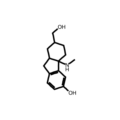 CNC12CCC(CO)CC1Cc1ccc(O)cc12